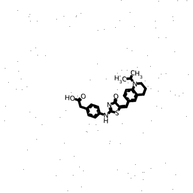 CC(C)N1CCCc2cc(C=C3SC(Nc4ccc(CC(=O)O)cc4)=NC3=O)ccc21